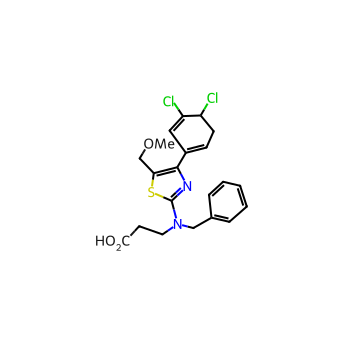 COCc1sc(N(CCC(=O)O)Cc2ccccc2)nc1C1=CCC(Cl)C(Cl)=C1